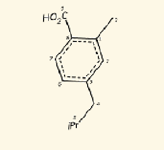 Cc1cc(CC(C)C)ccc1C(=O)O